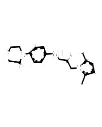 Cc1ccc(C)n1C[C@H](O)CNc1ccc(N2CCOCC2=O)cc1